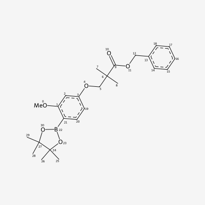 COc1cc(OCC(C)(C)C(=O)OCc2ccccc2)ccc1B1OC(C)(C)C(C)(C)O1